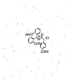 CC[C@@H](C(=O)NC(c1ccccc1OC)c1ccccc1OC)c1ccc(OC)cc1